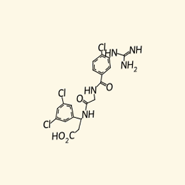 N=C(N)Nc1cc(C(=O)NCC(=O)NC(CC(=O)O)c2cc(Cl)cc(Cl)c2)ccc1Cl